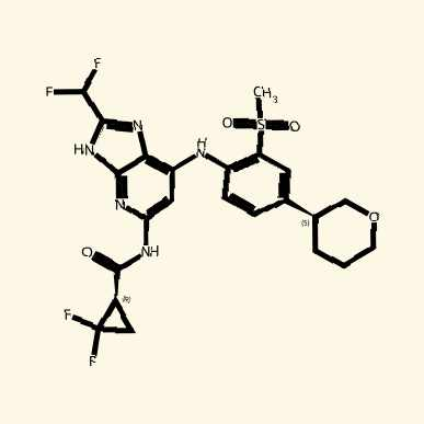 CS(=O)(=O)c1cc([C@@H]2CCCOC2)ccc1Nc1cc(NC(=O)[C@H]2CC2(F)F)nc2[nH]c(C(F)F)nc12